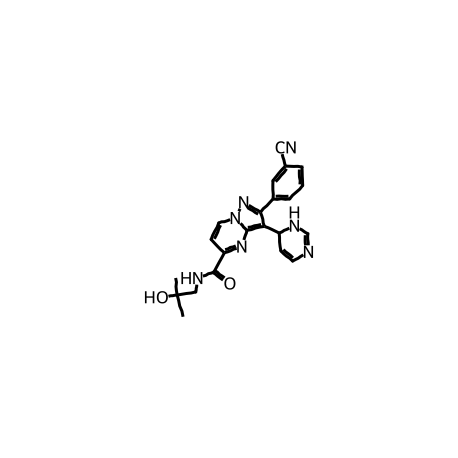 CC(C)(O)CNC(=O)c1ccn2nc(-c3cccc(C#N)c3)c(C3C=CN=CN3)c2n1